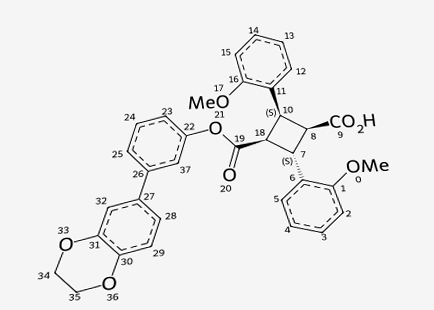 COc1ccccc1[C@H]1[C@H](C(=O)O)[C@H](c2ccccc2OC)[C@@H]1C(=O)Oc1cccc(-c2ccc3c(c2)OCCO3)c1